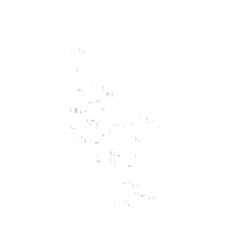 C[C@H](N)C(=O)N[C@@H](CCCNC(=N)N)C(=O)N[C@@H](C)C(=O)N[C@@H](C)C(=O)N[C@@H](CCCCN)C(=O)O